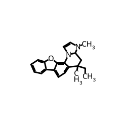 CCC1(C)CC2N(C)C=CN2c2c1ccc1c2oc2ccccc21